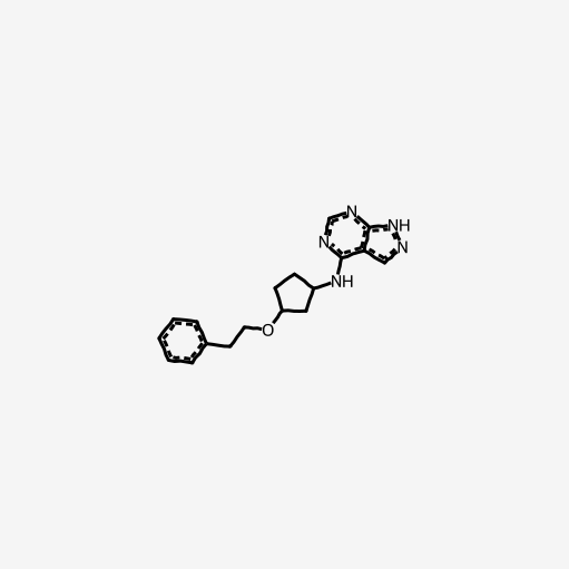 c1ccc(CCOC2CCC(Nc3ncnc4[nH]ncc34)C2)cc1